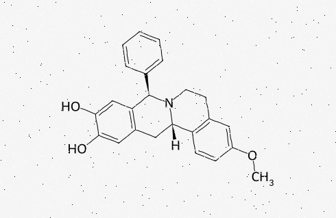 COc1ccc2c(c1)CCN1[C@H](c3ccccc3)c3cc(O)c(O)cc3C[C@@H]21